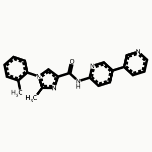 Cc1ccccc1-n1cc(C(=O)Nc2ccc(-c3cccnc3)cn2)nc1C